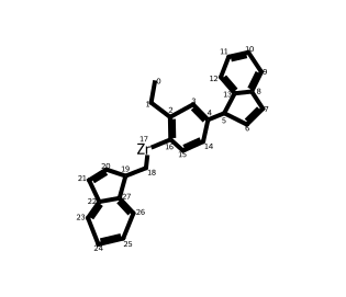 CCc1cc(C2C=Cc3ccccc32)cc[c]1[Zr][CH2]C1C=Cc2ccccc21